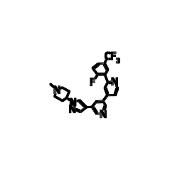 CN1CCC(n2cc(-c3cncc(-c4ccnc(-c5cc(C(F)(F)F)ccc5F)c4)c3)cn2)CC1